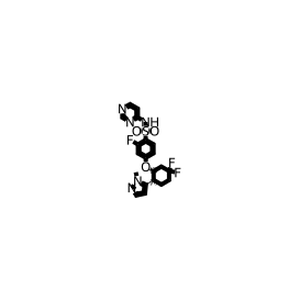 Cn1nccc1[C@H]1CCC(F)(F)C[C@@H]1Oc1ccc(S(=O)(=O)Nc2ccncn2)c(F)c1